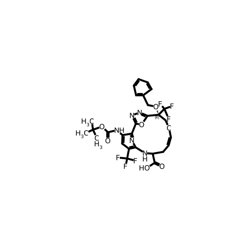 CC(C)(C)OC(=O)Nc1cc(C(F)(F)F)c2nc1-c1nnc(o1)[C@@](OCc1ccccc1)(C(F)(F)F)CCC=CCC(C(=O)O)N2